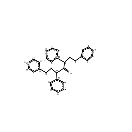 O=C(C(CCc1ccncc1)c1ccncc1)C(CCc1ccncc1)c1ccncc1